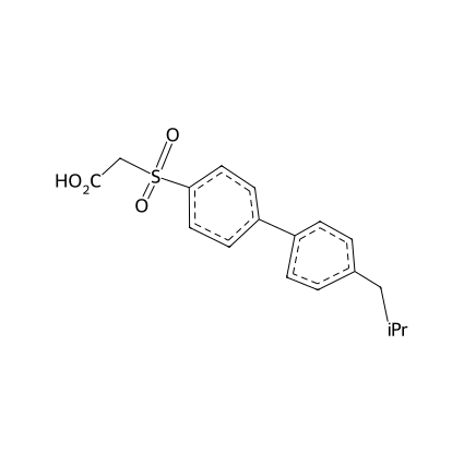 CC(C)Cc1ccc(-c2ccc(S(=O)(=O)CC(=O)O)cc2)cc1